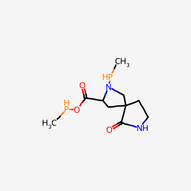 CPOC(=O)C1CC2(CCNC2=O)CN1PC